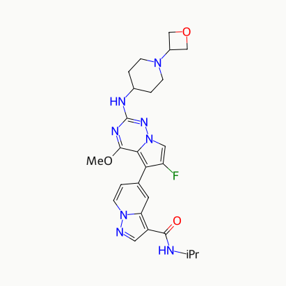 COc1nc(NC2CCN(C3COC3)CC2)nn2cc(F)c(-c3ccn4ncc(C(=O)NC(C)C)c4c3)c12